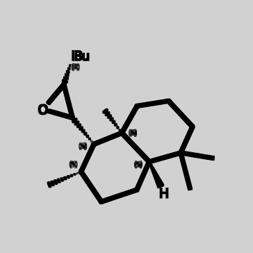 CC[C@@H](C)C1OC1[C@H]1[C@@H](C)CC[C@H]2C(C)(C)CCC[C@]12C